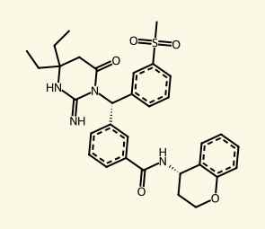 CCC1(CC)CC(=O)N([C@@H](c2cccc(C(=O)N[C@H]3CCOc4ccccc43)c2)c2cccc(S(C)(=O)=O)c2)C(=N)N1